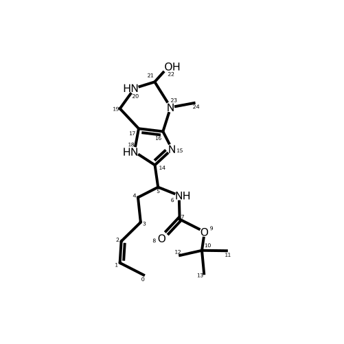 C/C=C\CCC(NC(=O)OC(C)(C)C)c1nc2c([nH]1)CNC(O)N2C